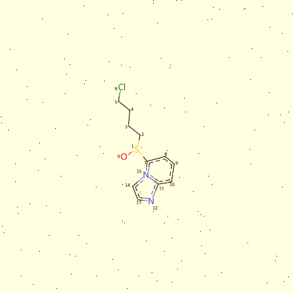 [O-][S+](CCCCCl)c1cccc2nccn12